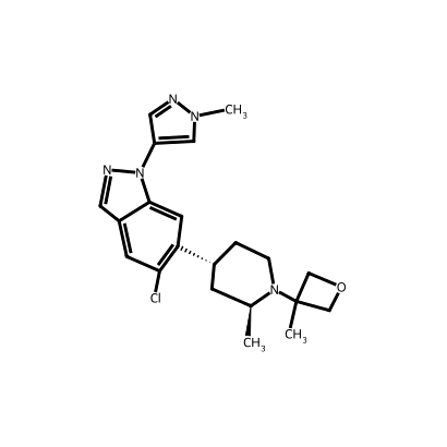 C[C@H]1C[C@H](c2cc3c(cnn3-c3cnn(C)c3)cc2Cl)CCN1C1(C)COC1